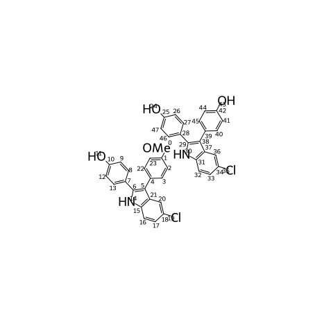 COc1ccc(-c2c(-c3ccc(O)cc3)[nH]c3ccc(Cl)cc23)cc1.Oc1ccc(-c2[nH]c3ccc(Cl)cc3c2-c2ccc(O)cc2)cc1